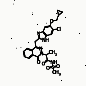 CC(C(=O)NS(C)(=O)=O)n1nc(Cc2nc3cc(OCC4CC4)c(Cl)cc3[nH]2)c2ccccc2c1=O